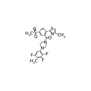 Cc1csc(-c2ccc(S(C)(=O)=O)cc2C(=O)N2CCN(c3cc(F)c(C)c(F)c3F)CC2)n1